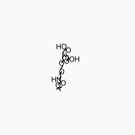 CC(C)(C)OC(=O)NCCOCCOCCN(CC(=O)O)CC(=O)O